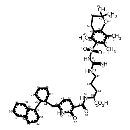 Cc1c(C)c(S(=O)(=O)NC(=N)NCCC[C@H](NC(=O)c2ccc(Cc3ccccc3-c3cccc4ccccc34)[nH]c2=O)C(=O)O)c(C)c2c1OC(C)(C)CC2